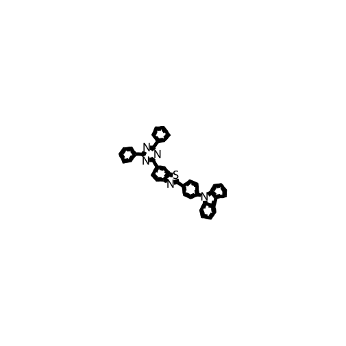 c1ccc(-c2nc(-c3ccccc3)nc(-c3ccc4nc(-c5ccc(-n6c7ccccc7c7ccccc76)cc5)sc4c3)n2)cc1